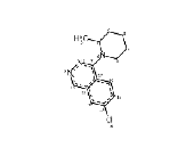 CC1CCCCN1c1nncc2cc(Cl)ccc12